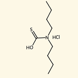 CCCCN(CCCC)C(O)=S.Cl